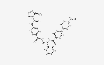 C=C1C=CC=C1C(=O)Oc1ccc(C(=O)OCC(OC(=O)c2ccc(C3CCC(CCCCC)CC3)cc2)c2ccccc2)cc1